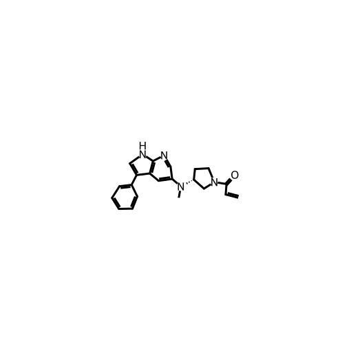 C=CC(=O)N1CC[C@@H](N(C)c2cnc3[nH]cc(-c4ccccc4)c3c2)C1